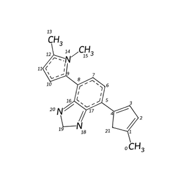 CC1=CC=C(c2ccc(-c3ccc(C)n3C)c3c2=NCN=3)C1